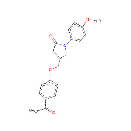 CCCOc1ccc(N2CC(COc3ccc(C(=O)OC)cc3)CC2=O)cc1